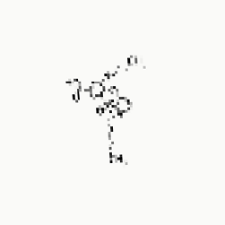 CCCCCCNS(=O)(=O)c1cc(C(=O)O)cc(NCCCC)c1Oc1ccccc1